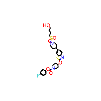 O=C(Oc1ccc(F)cc1)N1CCC(Oc2nc3ccc(C4CCN(OS(=O)CCCCO)CC4)cc3s2)CC1